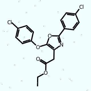 CCOC(=O)Cc1nc(-c2ccc(Cl)cc2)oc1Oc1ccc(Cl)cc1